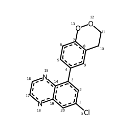 Clc1cc(-c2ccc3c(c2)CCOO3)c2nccnc2c1